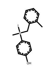 Cc1ccccc1CS(C)(I)c1ccc(O)cc1